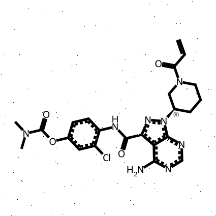 C=CC(=O)N1CCC[C@@H](n2nc(C(=O)Nc3ccc(OC(=O)N(C)C)cc3Cl)c3c(N)ncnc32)C1